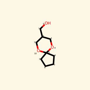 OCC1COC2(CCCC2)OC1